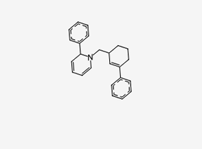 C1=CC(c2ccccc2)N(CC2C=C(c3ccccc3)CCC2)C=C1